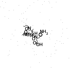 CCNC(=O)O[C@H](C[C@H](C(C)C)N(C)C(=O)C[C@@H](C)CC)c1nc(C(=O)N[C@@H](Cc2ccc(N)cc2)C[C@H](C)C(=O)O)cs1